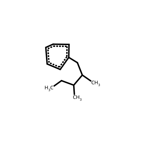 CCC(C)C(C)Cc1ccccc1